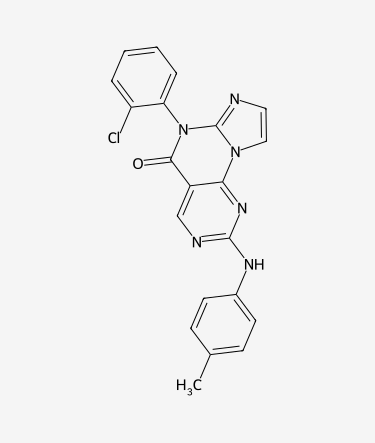 Cc1ccc(Nc2ncc3c(=O)n(-c4ccccc4Cl)c4nccn4c3n2)cc1